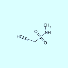 C#CCS(=O)(=O)NC